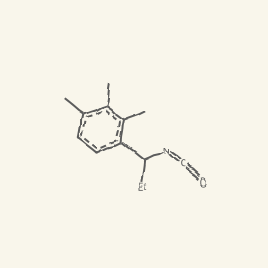 CCC(N=C=O)c1ccc(C)c(C)c1C